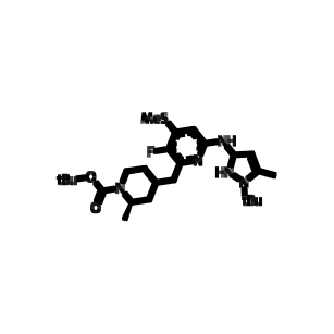 CSc1cc(NC2C=C(C)N(C(C)(C)C)N2)nc(CC2CCN(C(=O)OC(C)(C)C)[C@H](C)C2)c1F